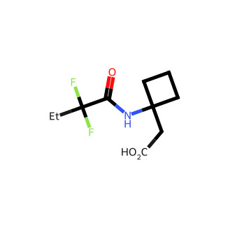 CCC(F)(F)C(=O)NC1(CC(=O)O)CCC1